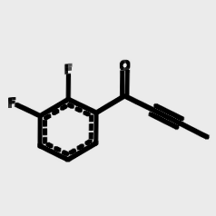 CC#CC(=O)c1cccc(F)c1F